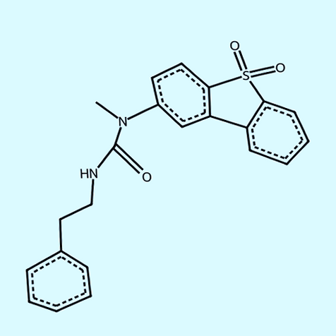 CN(C(=O)NCCc1ccccc1)c1ccc2c(c1)-c1ccccc1S2(=O)=O